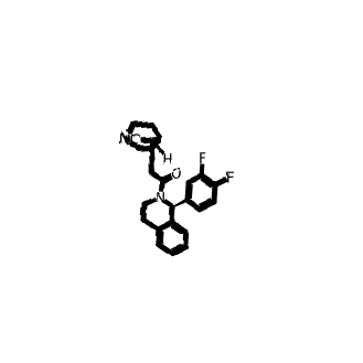 O=C(C[C@@H]1CN2CCC1CC2)N1CCc2ccccc2[C@@H]1c1ccc(F)c(F)c1